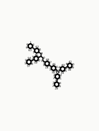 c1ccc(-c2ccc(CC(CCc3ccc(-c4ccc(N(c5ccc(-c6ccccc6)cc5)c5ccc(-c6ccccc6)cc5)cc4)cc3)c3ccc(-c4ccccc4)cc3)cc2)cc1